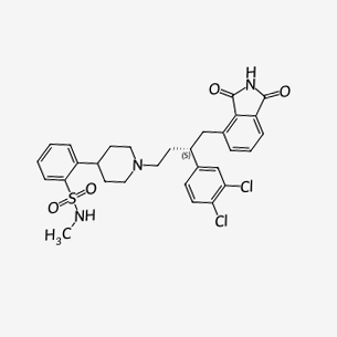 CNS(=O)(=O)c1ccccc1C1CCN(CC[C@H](Cc2cccc3c2C(=O)NC3=O)c2ccc(Cl)c(Cl)c2)CC1